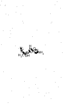 CN(CN=[N+]=[N-])P(O)OC[C@@H]1CNCC(n2ccc(N)nc2=O)O1